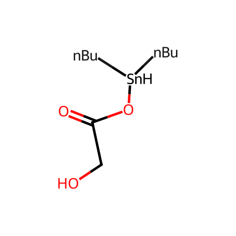 CCC[CH2][SnH]([CH2]CCC)[O]C(=O)CO